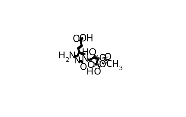 CS(=O)(=O)O[C@@H]1[C@@H](O)[C@H](n2cc(C=CC(=O)O)c(N)nc2=O)O[C@@H]1CO